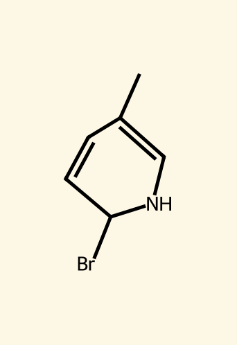 CC1=CNC(Br)C=C1